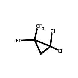 CCC1(C(F)(F)F)CC1(Cl)Cl